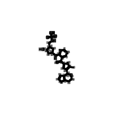 Cc1sc(C(=O)c2cncnc2N[C@H]2C[C@H](O)[C@@H]([CH]NS(=O)(=O)O)C2)cc1[C@H]1OCCc2sccc21